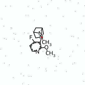 COc1nccc(F)c1CN1C2CC1CN(C)C2